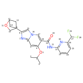 CC(C)Oc1cc2nc(C34COC(C3)C4)cn2cc1C(=O)Nc1cccc(C(F)F)n1